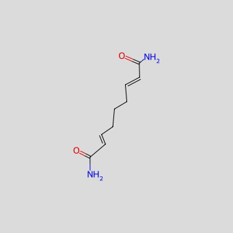 NC(=O)C=CCCCC=CC(N)=O